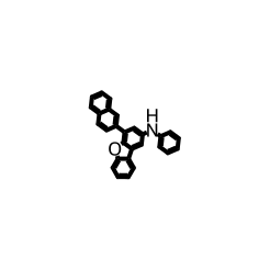 c1ccc(Nc2cc(-c3ccc4ccccc4c3)c3oc4ccccc4c3c2)cc1